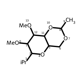 COC1C(C(C)C)OC2COC(C)OC2C1OC